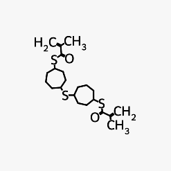 C=C(C)C(=O)SC1CCCC(SC2CCCC(SC(=O)C(=C)C)CC2)CC1